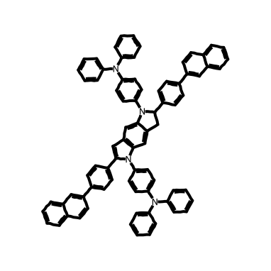 c1ccc(N(c2ccccc2)c2ccc(N3c4cc5cc(-c6ccc(-c7ccc8ccccc8c7)cc6)n(-c6ccc(N(c7ccccc7)c7ccccc7)cc6)c5cc4CC3c3ccc(-c4ccc5ccccc5c4)cc3)cc2)cc1